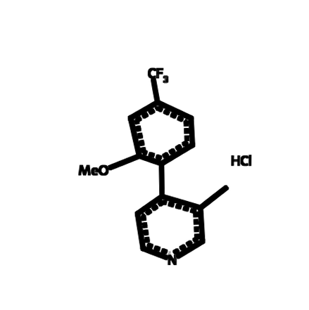 COc1cc(C(F)(F)F)ccc1-c1ccncc1C.Cl